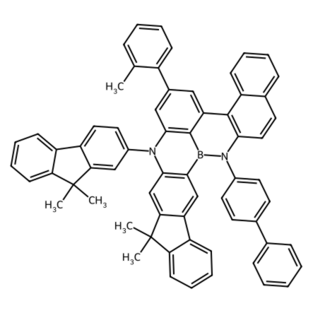 Cc1ccccc1-c1cc2c3c(c1)N(c1ccc4c(c1)C(C)(C)c1ccccc1-4)c1cc4c(cc1B3N(c1ccc(-c3ccccc3)cc1)c1ccc3ccccc3c1-2)-c1ccccc1C4(C)C